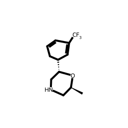 C[C@H]1CNC[C@H](C2C=C(C(F)(F)F)C=CC2)O1